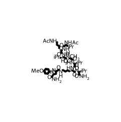 COc1ccc(N2N=C(C(=O)NCCCC[C@H](NC(=O)[C@@H](NC(=O)C(C)(C)NC(=O)[C@H](CC(C)C)NC(=O)[C@H](CCCCNC(C)=O)NC(=O)[C@@H](NC(C)=O)C(C)C)C(C)C)C(=O)N[C@H](C(N)=O)C(C)C)CC2C(N)=O)cc1